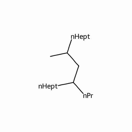 CCCCCCCC(C)CC(CCC)CCCCCCC